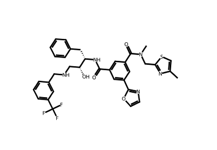 Cc1csc(CN(C)C(=O)c2cc(C(=O)N[C@@H](Cc3ccccc3)[C@H](O)CNCc3cccc(C(F)(F)F)c3)cc(-c3ncco3)c2)n1